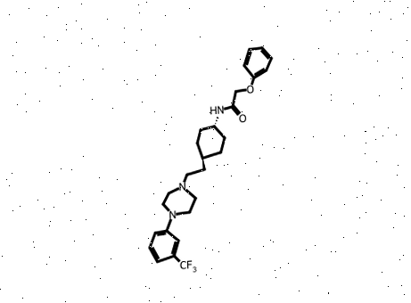 O=C(COc1ccccc1)N[C@H]1CC[C@H](CCN2CCN(c3cccc(C(F)(F)F)c3)CC2)CC1